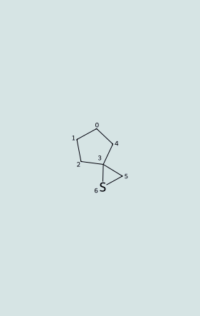 C1CCC2(C1)CS2